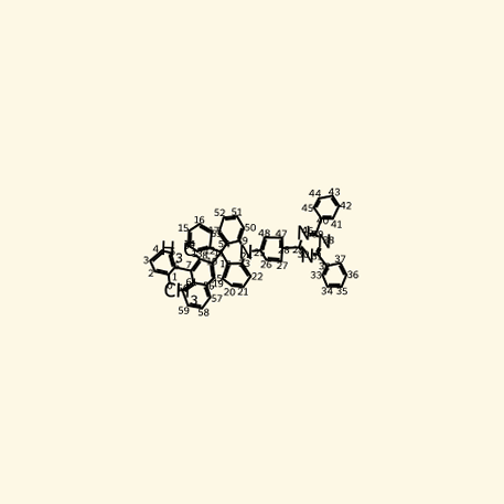 Cc1ccccc1-c1c(C)c(C2(c3ccccc3)c3ccccc3N(c3ccc(-c4nc(-c5ccccc5)nc(-c5ccccc5)n4)cc3)c3ccccc32)cc2ccccc12